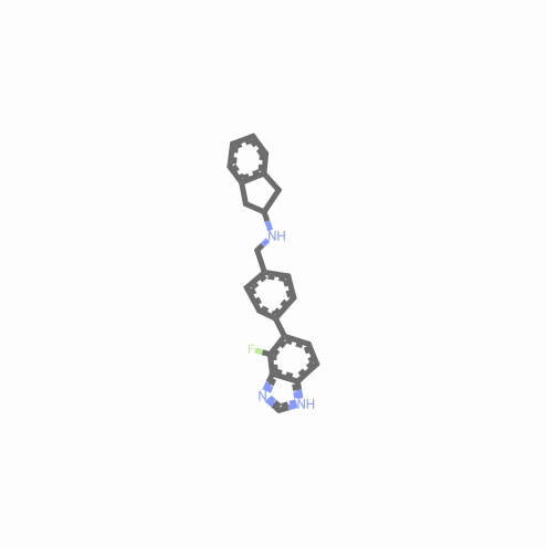 Fc1c(-c2ccc(CNC3Cc4ccccc4C3)cc2)ccc2[nH]cnc12